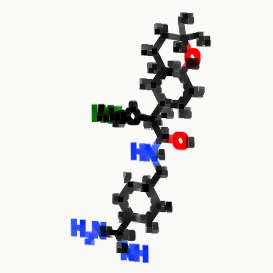 CO[C@H](C(=O)NCc1ccc(C(=N)N)cc1)c1ccc2c(c1)CCC(C)(C)O2.Cl